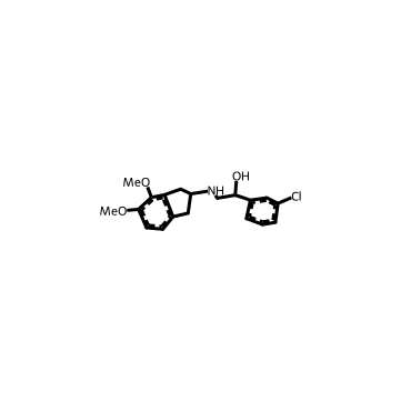 COc1ccc2c(c1OC)CC(NCC(O)c1cccc(Cl)c1)C2